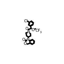 O=C(C(OCC(F)(F)F)c1cccc(Cl)c1)N1CCC(N2C(=O)OCc3ccccc32)CC1